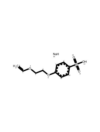 C=COCCOc1ccc(S(=O)(=O)O)cc1.[NaH]